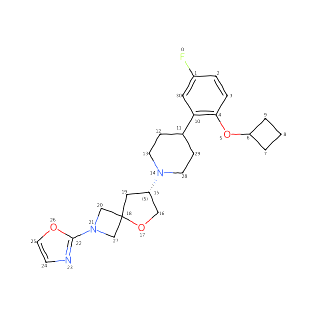 Fc1ccc(OC2CCC2)c(C2CCN([C@@H]3COC4(C3)CN(c3ncco3)C4)CC2)c1